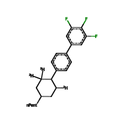 [2H]C1CC(CCCCC)CC([2H])([2H])C1c1ccc(-c2cc(F)c(F)c(F)c2)cc1